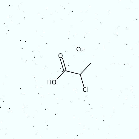 CC(Cl)C(=O)O.[Cu]